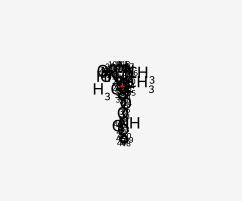 COC(=O)c1sc(Nc2cc(CN3CCN(C)CC3)ccc2[N+](=O)[O-])cc1OC(C)c1ccc(OCCOCCNC(=O)OCc2ccccc2)cc1C(F)(F)F